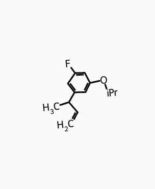 C=C[C](C)c1cc(F)cc(OC(C)C)c1